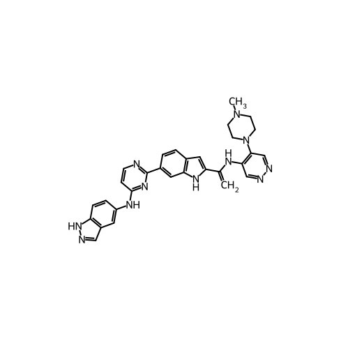 C=C(Nc1cnncc1N1CCN(C)CC1)c1cc2ccc(-c3nccc(Nc4ccc5[nH]ncc5c4)n3)cc2[nH]1